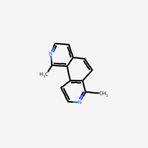 Cc1nccc2c1ccc1ccnc(C)c12